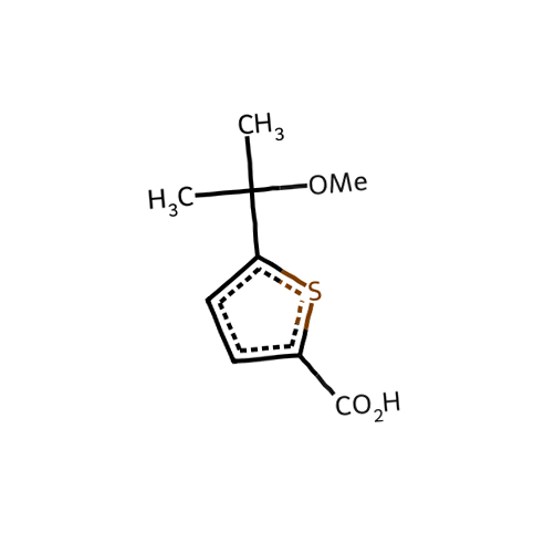 COC(C)(C)c1ccc(C(=O)O)s1